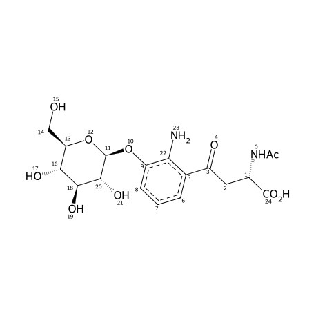 CC(=O)N[C@@H](CC(=O)c1cccc(O[C@@H]2O[C@H](CO)[C@@H](O)[C@H](O)[C@H]2O)c1N)C(=O)O